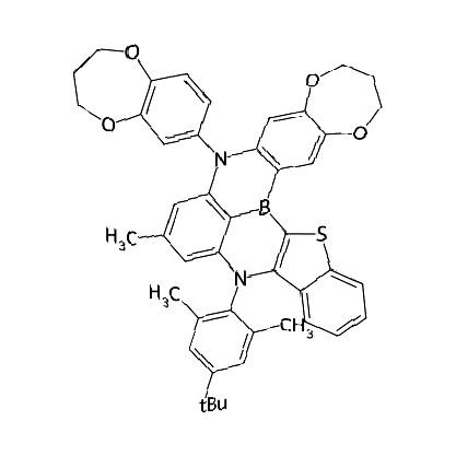 Cc1cc2c3c(c1)N(c1c(C)cc(C(C)(C)C)cc1C)c1c(sc4ccccc14)B3c1cc3c(cc1N2c1ccc2c(c1)OCCCO2)OCCCO3